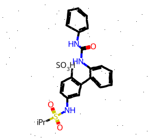 CC(C)S(=O)(=O)Nc1ccc(S(=O)(=O)O)c(-c2ccccc2NC(=O)Nc2ccccc2)c1